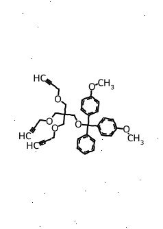 C#CCOCC(COCC#C)(COCC#C)COC(c1ccccc1)(c1ccc(OC)cc1)c1ccc(OC)cc1